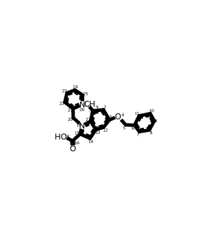 Cc1cc(OCc2ccccc2)cc2cc(C(=O)O)n(Cc3ccccn3)c12